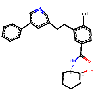 Cc1ccc(C(=O)N[C@H]2CCCC[C@@H]2O)cc1CCc1cncc(-c2ccccc2)c1